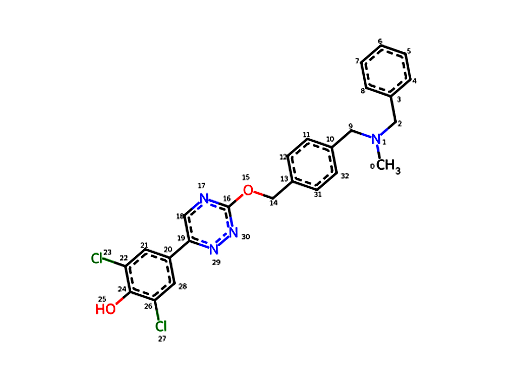 CN(Cc1ccccc1)Cc1ccc(COc2ncc(-c3cc(Cl)c(O)c(Cl)c3)nn2)cc1